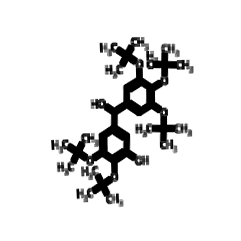 CC(C)(C)Oc1cc(C(O)c2cc(OC(C)(C)C)c(OC(C)(C)C)c(OC(C)(C)C)c2)cc(O)c1OC(C)(C)C